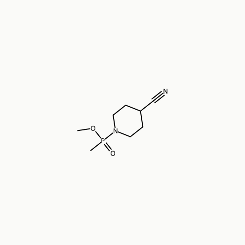 COP(C)(=O)N1CCC(C#N)CC1